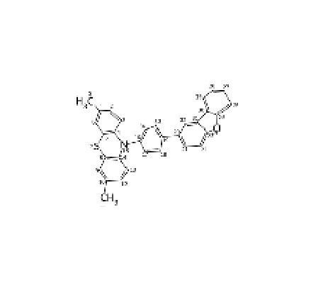 Cc1ccc2c(c1)Sc1cc(C)ccc1N2c1ccc(-c2ccc3oc4ccccc4c3c2)cc1